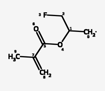 [CH2]C(CF)OC(=O)C(=C)C